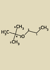 CCCOC(C)(C)C